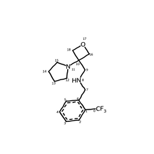 FC(F)(F)c1ccccc1CNCC1(N2CCCC2)COC1